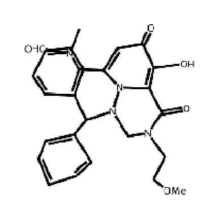 COCCN1CN(C(c2ccccc2)c2ccccc2)n2c(CN(C)C=O)cc(=O)c(O)c2C1=O